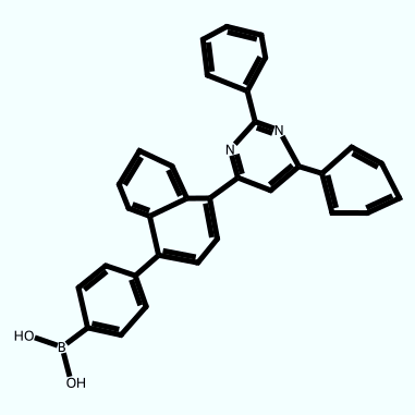 OB(O)c1ccc(-c2ccc(-c3cc(-c4ccccc4)nc(-c4ccccc4)n3)c3ccccc23)cc1